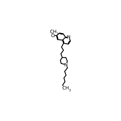 CCCCCCCN1CCC(CCCc2ccnc3ccc(OC)cc23)CC1